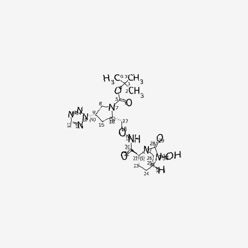 CC(C)(C)OC(=O)N1C[C@@H](n2ncnn2)C[C@H]1CONC(=O)[C@@H]1CC[C@@H]2CN1C(=O)N2O